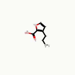 [CH2]CCc1ccoc1C(=O)O